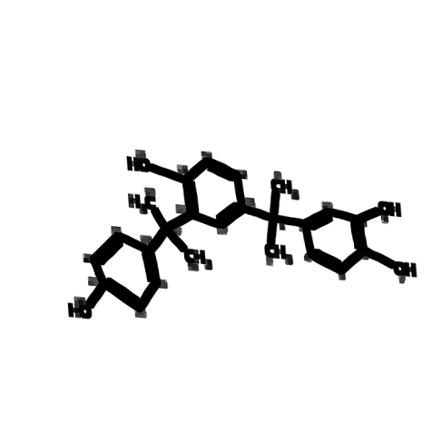 CC(C)(c1ccc(O)c(O)c1)c1ccc(O)c(C(C)(C)c2ccc(O)cc2)c1